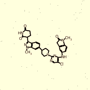 CN1C(=O)Cc2cc(Nc3nc(N4CCC(c5ccc6c(C7CCC(=O)NC7=O)nn(C)c6c5)CC4)ncc3Cl)ccc21